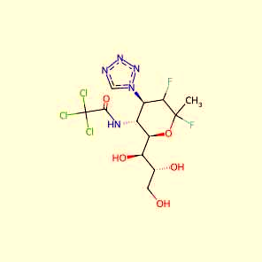 CC1(F)O[C@@H]([C@H](O)[C@H](O)CO)[C@H](NC(=O)C(Cl)(Cl)Cl)[C@@H](n2cnnn2)C1F